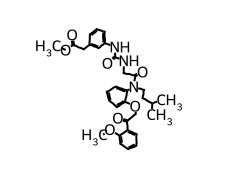 COC(=O)Cc1cccc(NC(=O)NCC(=O)N(CCC(C)C)c2ccccc2OCC(=O)c2ccccc2OC)c1